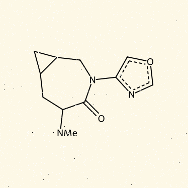 CNC1CC2CC2CN(c2cocn2)C1=O